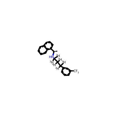 [2H]C([2H])(N[C@H](C)c1cccc2ccccc12)C([2H])([2H])C([2H])([2H])c1cccc(C(F)(F)F)c1